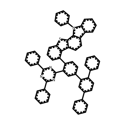 c1ccc(-c2ccc(-c3ccccc3)c(-c3ccc(-c4cccc5sc6c(ccc7c8ccccc8n(-c8ccccc8)c76)c45)c(-c4nc(-c5ccccc5)nc(-c5ccccc5)n4)c3)c2)cc1